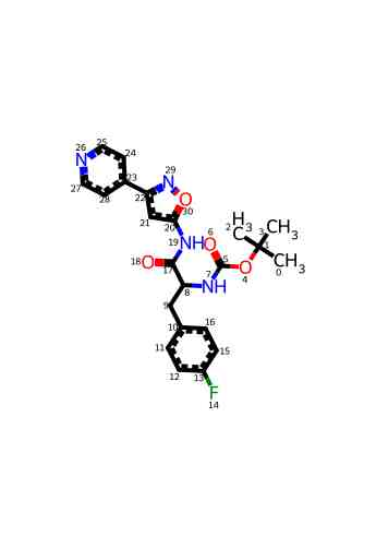 CC(C)(C)OC(=O)NC(Cc1ccc(F)cc1)C(=O)Nc1cc(-c2ccncc2)no1